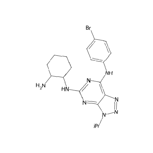 CC(C)n1nnc2c(Nc3ccc(Br)cc3)nc(NC3CCCCC3N)nc21